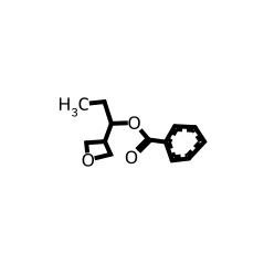 CCC(OC(=O)c1ccccc1)C1COC1